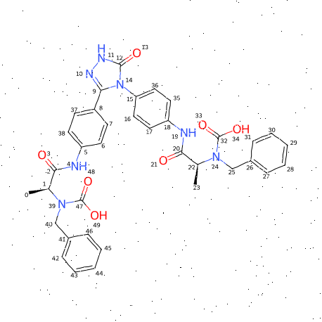 C[C@@H](C(=O)Nc1ccc(-c2n[nH]c(=O)n2-c2ccc(NC(=O)[C@H](C)N(Cc3ccccc3)C(=O)O)cc2)cc1)N(Cc1ccccc1)C(=O)O